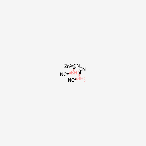 N#C[BH2-]C#N.N#C[BH2-]C#N.[Zn+2]